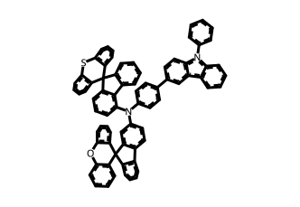 c1ccc(-n2c3ccccc3c3cc(-c4ccc(N(c5ccc6c(c5)C5(c7ccccc7Oc7ccccc75)c5ccccc5-6)c5cccc6c5-c5ccccc5C65c6ccccc6Sc6ccccc65)cc4)ccc32)cc1